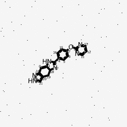 C1=C2NC(c3ccc(Oc4ncccn4)cc3)=NC2Cc2c[nH]nc21